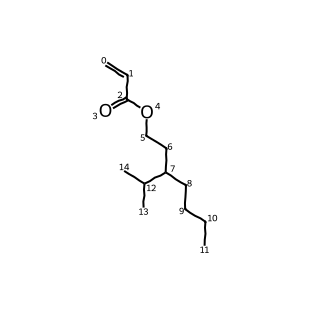 C=CC(=O)OCCC(CCCC)C(C)C